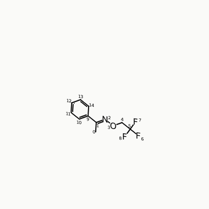 CC(=NOCC(F)(F)F)c1cc[c]cc1